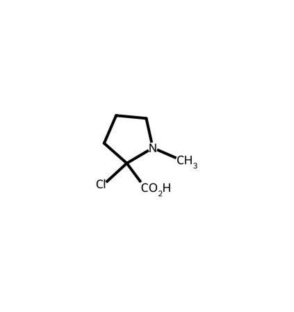 CN1CCCC1(Cl)C(=O)O